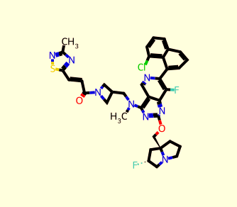 Cc1nsc(/C=C/C(=O)N2CC(CN(C)c3nc(OC[C@@]45CCCN4C[C@H](F)C5)nc4c(F)c(-c5cccc6cccc(Cl)c56)ncc34)C2)n1